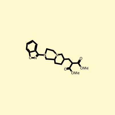 COC(=O)C(CC1CCC2CN(c3noc4ccccc34)CCN2C1)C(=O)OC